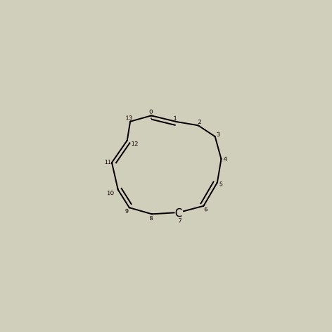 [C]1=C/CCC/C=C\CC/C=C\C=C\C/1